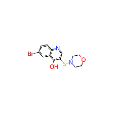 Oc1c(SN2CCOCC2)cnc2ccc(Br)cc12